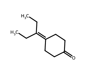 CCC(CC)=C1CCC(=O)CC1